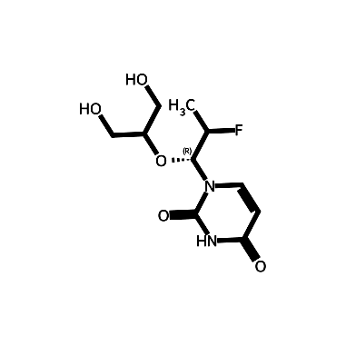 CC(F)[C@@H](OC(CO)CO)n1ccc(=O)[nH]c1=O